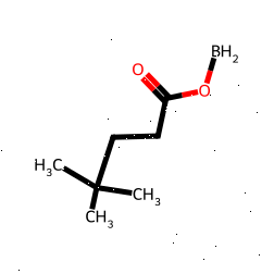 BOC(=O)CCC(C)(C)C